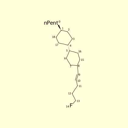 CCCCC[C@H]1CC[C@H](C2CCC(/C=C/CCCF)CC2)CC1